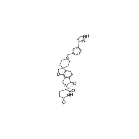 O=C1CC[C@H](N2Cc3c(ccc4c3OCC43CCN(Cc4cccc(-c5cc[nH]n5)c4)CC3)C2=O)C(=O)N1